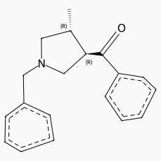 C[C@H]1CN(Cc2ccccc2)C[C@@H]1C(=O)c1ccccc1